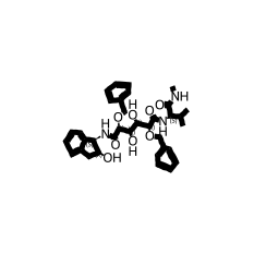 CNC(=O)[C@@H](NC(=O)[C@H](OCc1ccccc1)[C@H](O)[C@@H](O)[C@@H](OCc1ccccc1)C(=O)N[C@H]1c2ccccc2C[C@H]1O)C(C)C